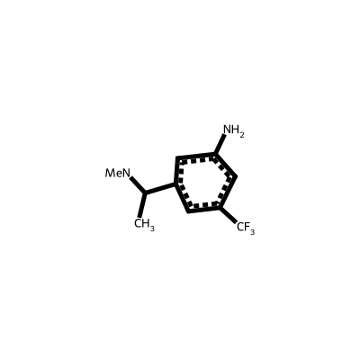 CNC(C)c1cc(N)cc(C(F)(F)F)c1